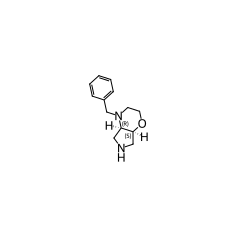 c1ccc(CN2CCO[C@H]3CNC[C@H]32)cc1